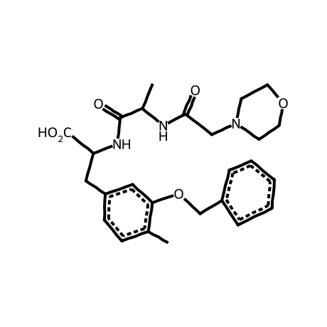 Cc1ccc(CC(NC(=O)C(C)NC(=O)CN2CCOCC2)C(=O)O)cc1OCc1ccccc1